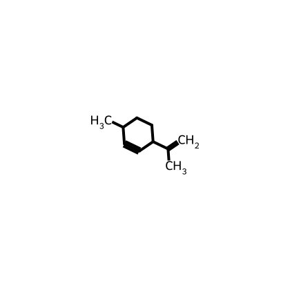 C=C(C)C1C#CC(C)CC1